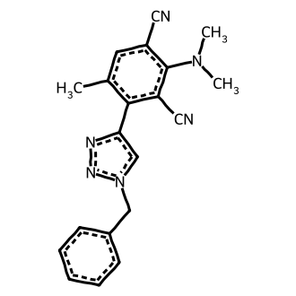 Cc1cc(C#N)c(N(C)C)c(C#N)c1-c1cn(Cc2ccccc2)nn1